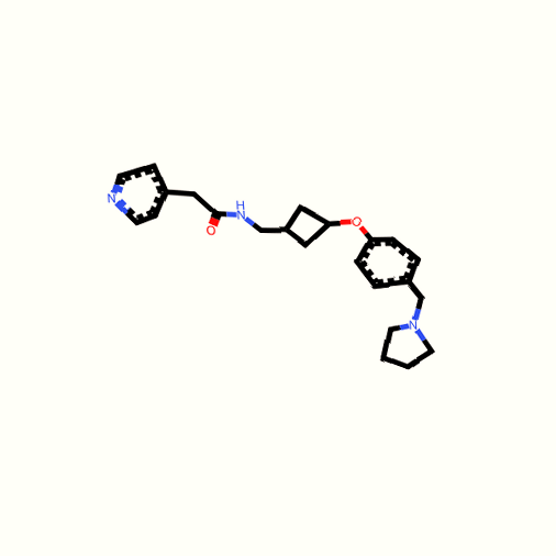 O=C(Cc1ccncc1)NCC1CC(Oc2ccc(CN3CCCC3)cc2)C1